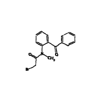 CN(C(=O)CBr)c1ccccc1C(=O)c1ccccc1